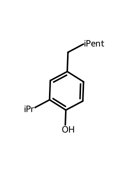 CCCC(C)Cc1ccc(O)c(C(C)C)c1